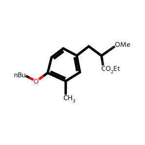 CCCCOc1ccc(CC(OC)C(=O)OCC)cc1C